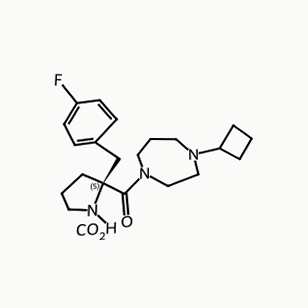 O=C(O)N1CCC[C@]1(Cc1ccc(F)cc1)C(=O)N1CCCN(C2CCC2)CC1